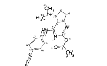 CC(=O)Oc1nc2c(c(Nc3ccc(C#N)cc3)n1)C(N(C)C)CC2